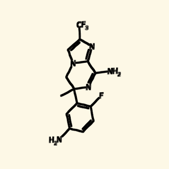 CC1(c2cc(N)ccc2F)Cn2cc(C(F)(F)F)nc2C(N)=N1